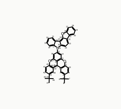 BC12c3cc(C(C)(C)C)ccc3Oc3cc(-n4c5ccccc5c5c6oc7ccccc7c6ccc54)cc(c31)Oc1ccc(C(C)(C)C)cc12